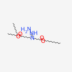 CCCCCCCCCCCOC(=O)CCCCCN(CCCCCCCC(=O)OC(CCCCCC)CCCCCCCC)CCNCCN